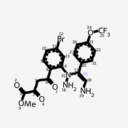 COC(=O)C(=O)CC(=O)c1ccc(Br)cc1N(N)/C(=C\N)c1ccc(OC(F)(F)F)cc1